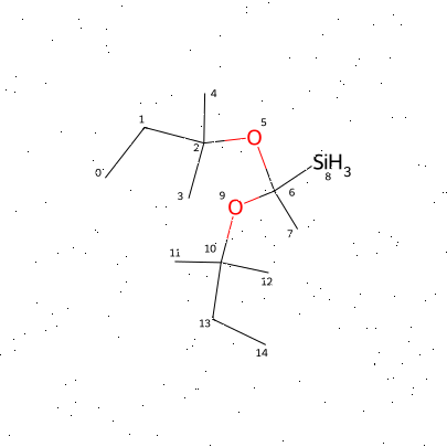 CCC(C)(C)OC(C)([SiH3])OC(C)(C)CC